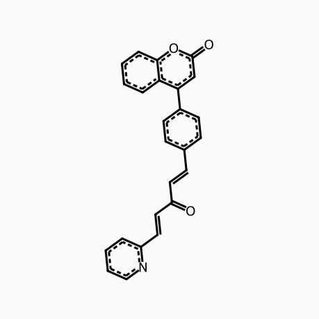 O=C(C=Cc1ccc(-c2cc(=O)oc3ccccc23)cc1)C=Cc1ccccn1